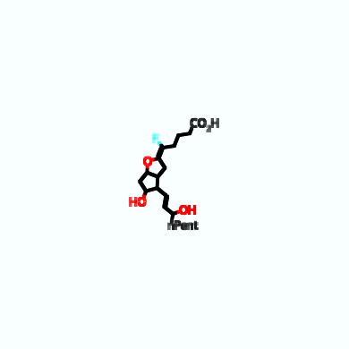 CCCCCC(O)C=CC1C(O)CC2OC(=C(F)CCCC(=O)O)CC21